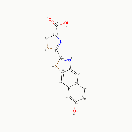 O=C(O)[C@H]1CSC(c2nc3c(s2)=CC2C=C(O)C=CC2C=3)=N1